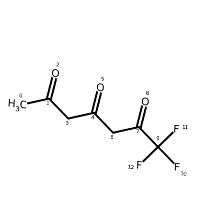 CC(=O)CC(=O)CC(=O)C(F)(F)F